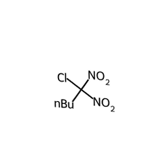 CCCCC(Cl)([N+](=O)[O-])[N+](=O)[O-]